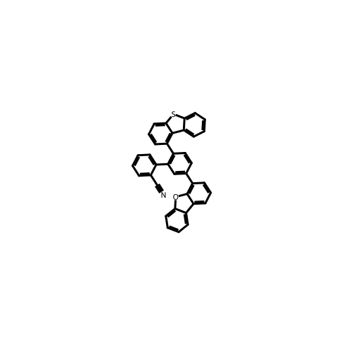 N#Cc1ccccc1-c1cc(-c2cccc3c2oc2ccccc23)ccc1-c1cccc2sc3ccccc3c12